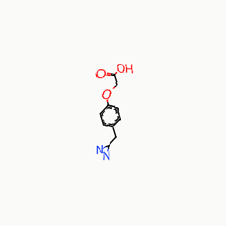 O=C(O)COc1ccc(CC2N=N2)cc1